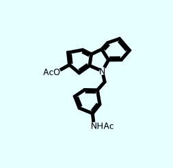 CC(=O)Nc1cccc(Cn2c3ccccc3c3ccc(OC(C)=O)cc32)c1